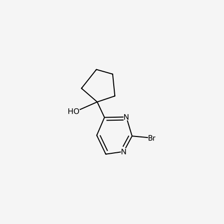 OC1(c2ccnc(Br)n2)CCCC1